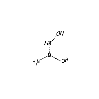 NB(O)BO